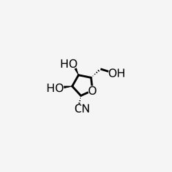 N#C[C@H]1O[C@@H](CO)[C@H](O)[C@@H]1O